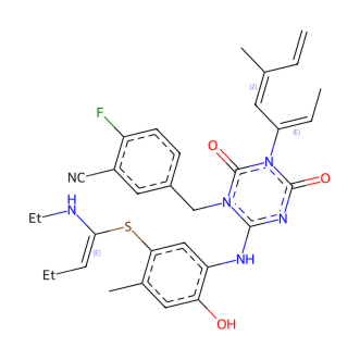 C=C/C(C)=C\C(=C/C)n1c(=O)nc(Nc2cc(S/C(=C/CC)NCC)c(C)cc2O)n(Cc2ccc(F)c(C#N)c2)c1=O